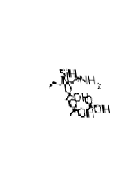 CC(=O)O.CC(=O)O.CC(=O)O.CCCN([SiH3])CCN